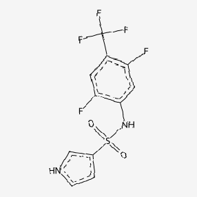 O=S(=O)(Nc1cc(F)c(C(F)(F)F)cc1F)c1cc[nH]c1